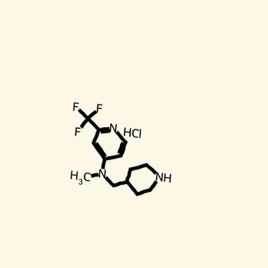 CN(CC1CCNCC1)c1ccnc(C(F)(F)F)c1.Cl